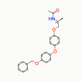 CC(=O)N[C@@H](C)COc1ccc(Oc2ccc(OCc3ccccc3)cc2)cc1